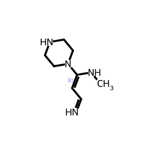 CN/C(=C\C=N)N1CCNCC1